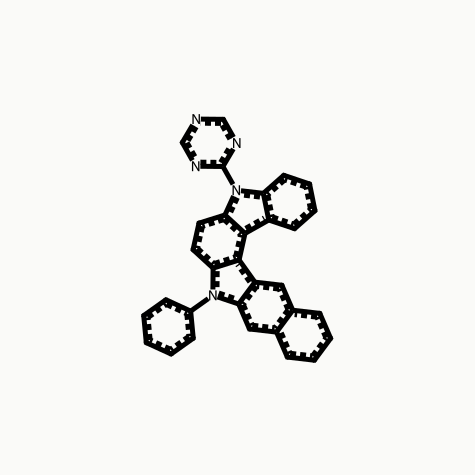 c1ccc(-n2c3cc4ccccc4cc3c3c4c5ccccc5n(-c5ncncn5)c4ccc32)cc1